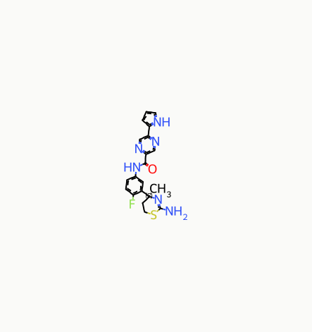 C[C@@]1(c2cc(NC(=O)c3cnc(-c4ccc[nH]4)cn3)ccc2F)CCSC(N)=N1